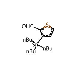 CCC[CH2][Sn]([CH2]CCC)([CH2]CCC)[c]1ccsc1C=O